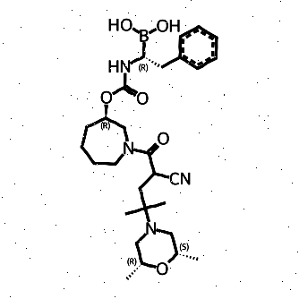 C[C@@H]1CN(C(C)(C)CC(C#N)C(=O)N2CCCC[C@@H](OC(=O)N[C@@H](Cc3ccccc3)B(O)O)C2)C[C@H](C)O1